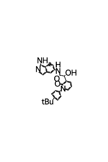 CC(C)(C)c1ccc(-n2cccc(C(O)C(=O)Nc3ccc4c(N)nccc4c3)c2=O)cc1